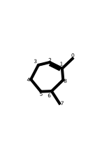 CC1=CCCCC(C)C1